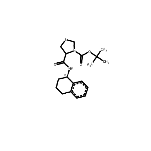 CC(C)(C)OC(=O)N1CSCC1C(=O)N[C@@H]1CCCc2ccccc21